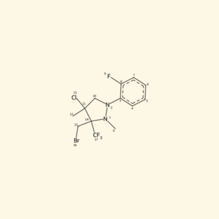 CN1N(c2ccccc2F)CC(C)(Cl)C1(CBr)C(F)(F)F